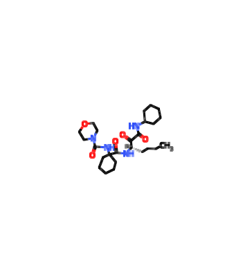 CCCC[C@H](NC(=O)C1(NC(=O)N2CCOCC2)CCCCC1)C(=O)C(=O)NC1CCCCC1